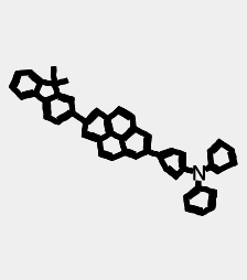 CC1(C)c2ccccc2-c2ccc(-c3cc4ccc5cc(-c6ccc(N(c7ccccc7)c7ccccc7)cc6)cc6ccc(c3)c4c56)cc21